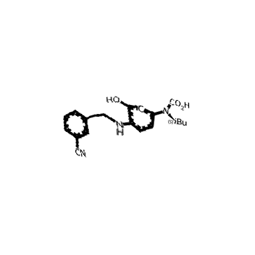 CC[C@H](C)N(C(=O)O)c1ccc(NCc2cccc(C#N)c2)c(O)c1